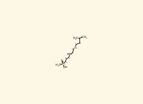 CC(C)CCOCCNCCCP(C)(=O)O